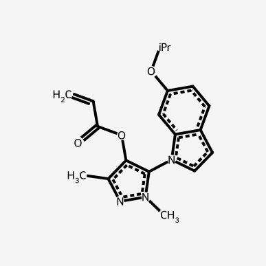 C=CC(=O)Oc1c(C)nn(C)c1-n1ccc2ccc(OC(C)C)cc21